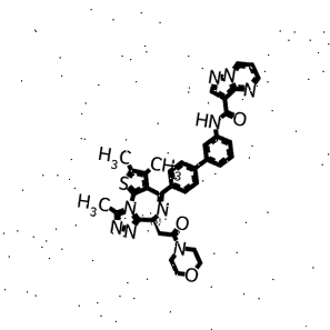 Cc1sc2c(c1C)C(c1ccc(-c3cccc(NC(=O)c4cnn5cccnc45)c3)cc1)=N[C@@H](CC(=O)N1CCOCC1)c1nnc(C)n1-2